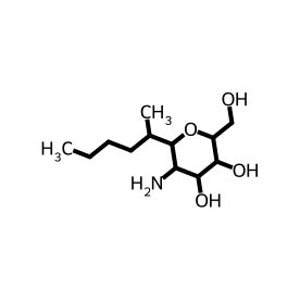 CCCCC(C)C1OC(CO)C(O)C(O)C1N